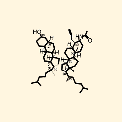 C=CC[C@@H]1[C@H](NC(C)=O)CC[C@@]2(C)[C@H]1CC[C@@H]1[C@@H]2CC[C@]2(C)[C@@H]([C@H](C)CCCC(C)C)CC[C@@H]12.CC(C)CCC[C@@H](C)[C@H]1CC[C@H]2[C@@H]3CC[C@H]4C[C@H](O)CC[C@]4(C)[C@H]3CC[C@]12C